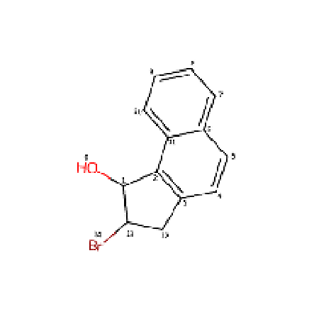 OC1c2c(ccc3ccccc23)CC1Br